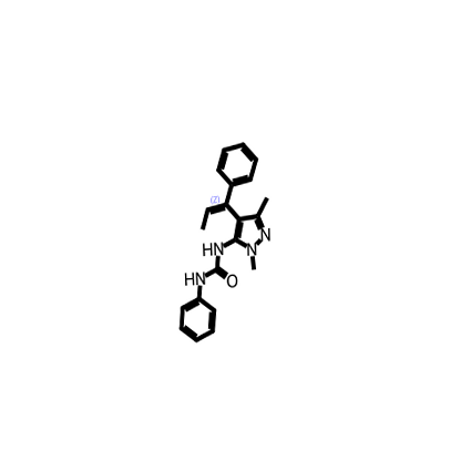 C/C=C(/c1ccccc1)c1c(C)nn(C)c1NC(=O)Nc1ccccc1